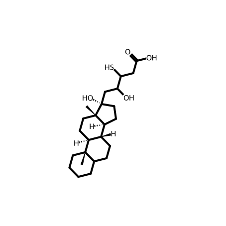 C[C@]12CCCCC1CC[C@@H]1[C@@H]2CC[C@@]2(C)[C@H]1CC[C@]2(O)CC(O)C(S)CC(=O)O